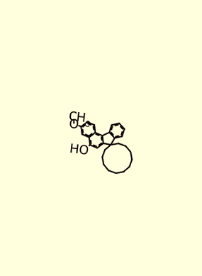 COc1ccc2c3c(cc(O)c2c1)C1(CCCCCCCCCCC1)c1ccccc1-3